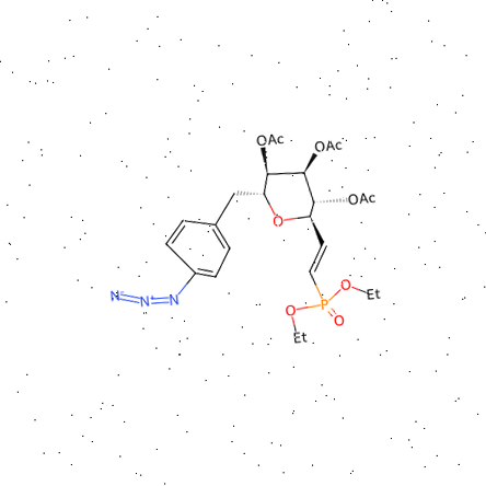 CCOP(=O)(/C=C/[C@H]1O[C@H](Cc2ccc(N=[N+]=[N-])cc2)[C@@H](OC(C)=O)[C@@H](OC(C)=O)[C@@H]1OC(C)=O)OCC